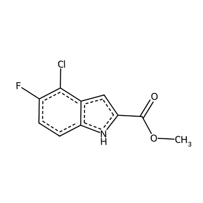 COC(=O)c1cc2c(Cl)c(F)ccc2[nH]1